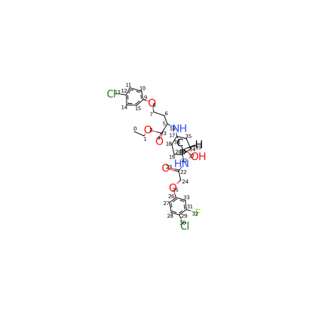 CCOC(=O)C(CCOc1ccc(Cl)cc1)NC12CCC(NC(=O)COc3ccc(Cl)c(F)c3)(CC1)[C@@H](O)C2